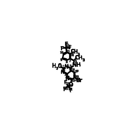 Cc1nc(N[C@H](C)c2cccc(C(F)(F)F)c2C)c2cc(Br)c(OC(F)(F)F)nc2n1